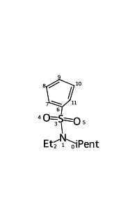 CCCC(C)N(CC)S(=O)(=O)c1ccccc1